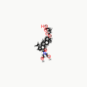 C=C(C)[C@@H]1CC[C@]2(CC(=O)N(CCOC)CCOC)CC[C@]3(C)[C@H](CC[C@@H]4[C@@]5(C)CC[C@H](OC(=O)CC(C)(C)CC(=O)O)C(C)(C)[C@@H]5CC[C@]43C)[C@@H]12